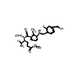 Cc1c(NCc2ccc(CO)cc2F)cccc1C(=O)N(C=O)C(CCC(=O)OC(C)(C)C)C(N)=O